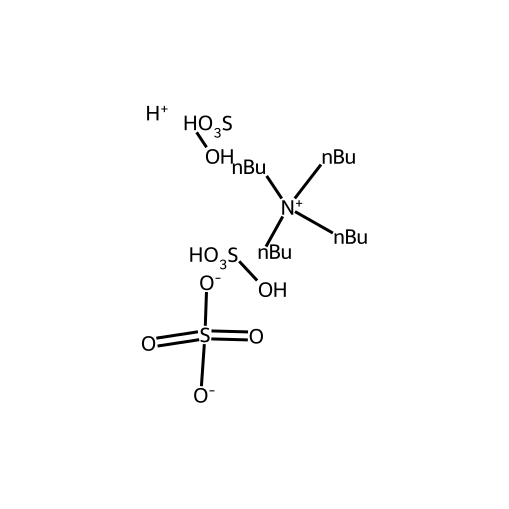 CCCC[N+](CCCC)(CCCC)CCCC.O=S(=O)(O)O.O=S(=O)(O)O.O=S(=O)([O-])[O-].[H+]